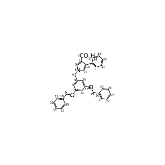 O=C(O)c1cn(Cc2cc(OCc3ccccc3)cc(OCc3ccccc3)c2)cc1-c1ccccc1